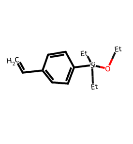 C=Cc1ccc([Si](CC)(CC)OCC)cc1